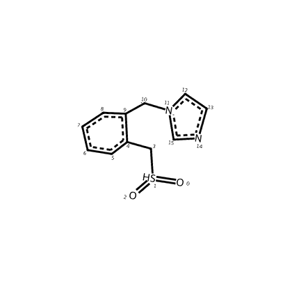 O=[SH](=O)Cc1ccccc1[CH]n1ccnc1